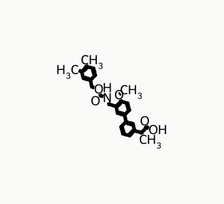 COc1ccc(-c2cccc(C(C)C(=O)O)c2)cc1CNC(=O)OCc1ccc(C)c(C)c1